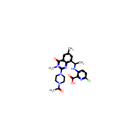 CC(=O)N1CCN(c2nc3c(C(C)Nc4ccc(Cl)nc4C(=O)O)cc(C)cc3c(=O)n2C)CC1